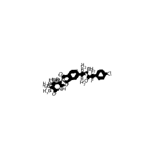 BN(C(=O)C(F)(F)c1ccc(Cl)cc1)C(B)(B)c1ccc2c(c1)CN([C@@]1(B)C(=O)NC(=O)C(B)(B)C1(B)B)C2=O